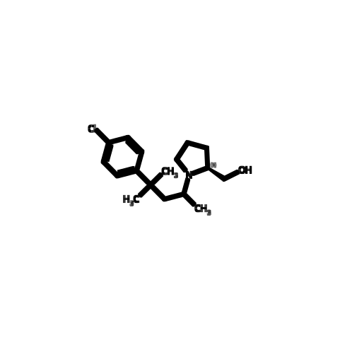 CC(CC(C)(C)c1ccc(Cl)cc1)N1CCC[C@H]1CO